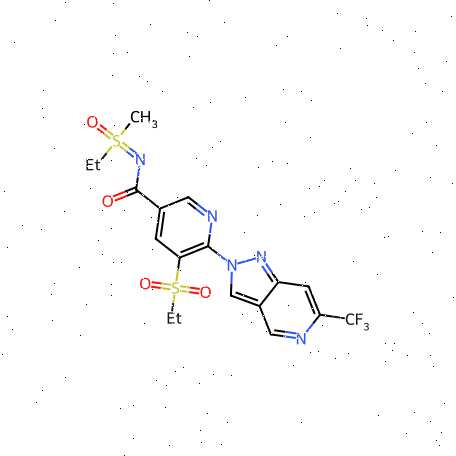 CCS(=O)(=O)c1cc(C(=O)N=S(C)(=O)CC)cnc1-n1cc2cnc(C(F)(F)F)cc2n1